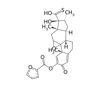 C[C@@H]1C[C@H]2[C@@H]3CCC4=CC(=O)C(OC(=O)c5ccco5)=C[C@]4(C)C34OC4C[C@]2(C)[C@]1(O)C(O)=S